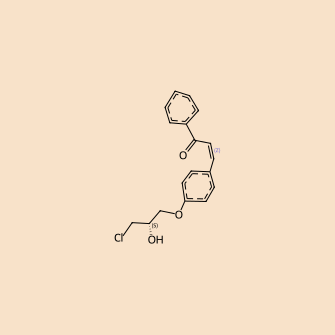 O=C(/C=C\c1ccc(OC[C@H](O)CCl)cc1)c1ccccc1